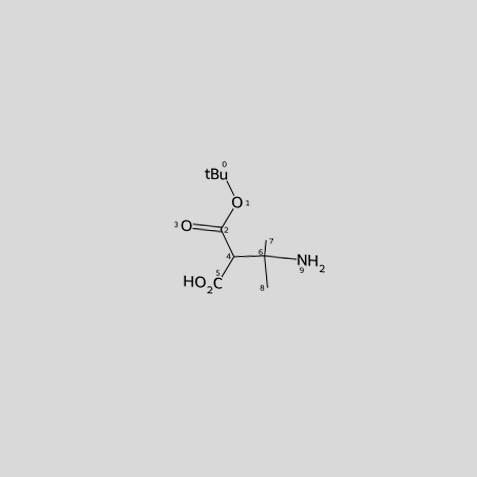 CC(C)(C)OC(=O)C(C(=O)O)C(C)(C)N